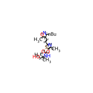 CCCCc1noc(C)c1/C=C/c1nc(C)c(OC(=O)NC(C)(C)CO)s1